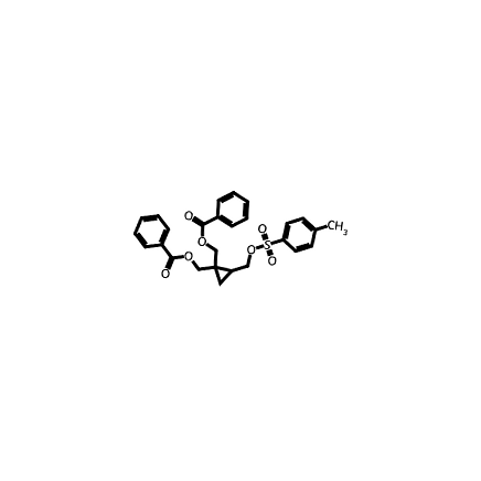 Cc1ccc(S(=O)(=O)OCC2CC2(COC(=O)c2ccccc2)COC(=O)c2ccccc2)cc1